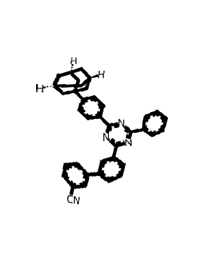 N#Cc1cccc(-c2cccc(-c3nc(-c4ccccc4)nc(-c4ccc(C56C[C@H]7C[C@H](C5)C[C@@H](C6)C7)cc4)n3)c2)c1